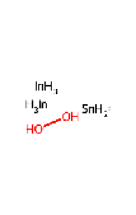 OO.[InH3].[InH3].[SnH2]